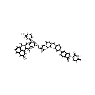 C=C1CC[C@H](N2Cc3cc(N4CCN(CC5CCN(CC6(COc7nc(N8CCC[C@@](C)(O)C8)c8cnc(-c9cc(O)cc%10cccc(CC)c9%10)c(F)c8n7)CC6)CC5)CC4)ccc3C2=O)C(=O)N1